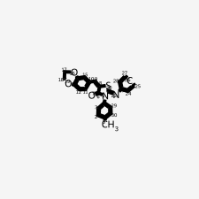 Cc1ccc(N2C(=O)C(=Cc3ccc4c(c3)OCCO4)SC2=Nc2ccccc2)cc1